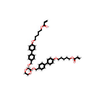 C=CC(=O)OCCCCCOc1ccc(-c2ccc(CO[C@H]3OCCO[C@@H]3OCc3ccc(-c4ccc(OCCCCCOC(=O)C=C)cc4)cc3)cc2)cc1